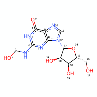 O=c1[nH]c(NCO)nc2c1ncn2[C@@H]1O[C@H](CO)[C@@H](O)[C@H]1O